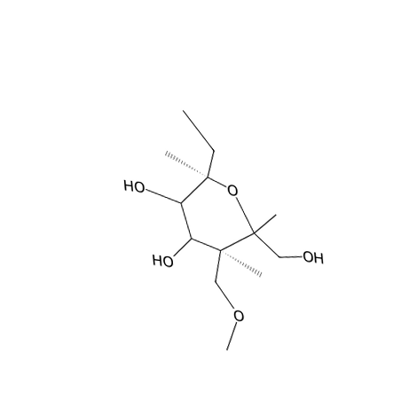 CC[C@@]1(C)OC(C)(CO)[C@@](C)(COC)C(O)C1O